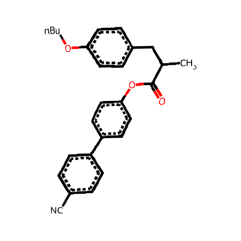 CCCCOc1ccc(CC(C)C(=O)Oc2ccc(-c3ccc(C#N)cc3)cc2)cc1